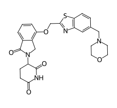 O=C1CCC(N2Cc3c(OCc4nc5cc(CN6CCOCC6)ccc5s4)cccc3C2=O)C(=O)N1